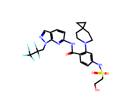 O=C(Nc1ccc2cnn(CC(F)(F)C(F)(F)F)c2n1)c1ccc(NS(=O)(=O)CCO)cc1N1CCC2(CC1)CC2